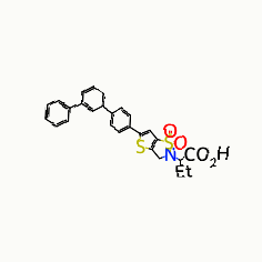 CCC(C(=O)O)N1Cc2sc(-c3ccc(-c4cccc(-c5ccccc5)c4)cc3)cc2S1(=O)=O